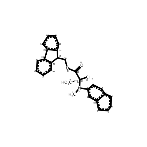 CN(c1ccc2ccccc2c1)[C@@](C)(C(=O)O)C(=O)OCC1c2ccccc2-c2ccccc21